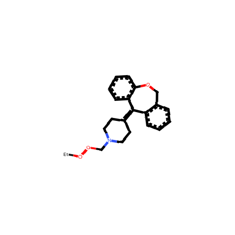 CCOOCN1CCC(=C2c3ccccc3COc3ccccc32)CC1